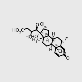 C[C@]12C=CC(=O)C=C1[C@@H](F)C[C@@H]1[C@@H]2CC[C@@]2(C)[C@H]1C[C@@H](O)[C@]2(O)C(=O)C(O)CC(=O)O